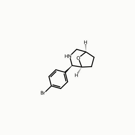 Brc1ccc([C@H]2NC[C@H]3CC[C@@H]2O3)cc1